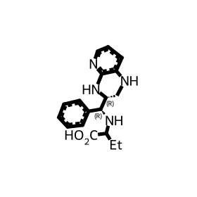 CCC(N[C@H](c1ccccc1)[C@H]1CNc2cccnc2N1)C(=O)O